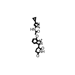 Cn1nc(C2CC2)cc1NC(=O)COc1cccc2c(C3CCC(=O)NC3=O)nn(C)c12